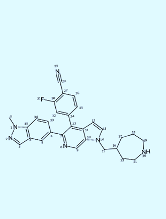 Cn1ncc2cc(-c3ncc4c(ccn4CC4CCCNCC4)c3-c3ccc(C#N)c(F)c3)ccc21